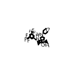 O=C(NCc1cc(C(F)(F)F)cc(C(F)(F)F)c1)C1(C(O)(C2CC2)C2CC2)CCC(NC2CCOCC2)C1